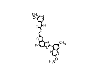 COc1cncc(NC(=O)OC[C@H]2Cc3c(c(F)cc4nc(-c5cc(C)cc6nc(OC)cnc56)sc34)O2)c1